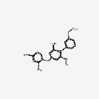 CCOc1cc(Cc2cnc(N)nc2N)cc(O)c1-c1cccc(CC(=O)O)c1